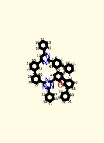 c1ccc(-c2ccc(-c3nc(-c4ccccc4)cc(-c4cccc(-c5cccc(-c6nc(-c7ccccc7)nc(-c7cccc8c7oc7c(-c9ccccc9)cccc78)n6)c5)c4)n3)cc2)cc1